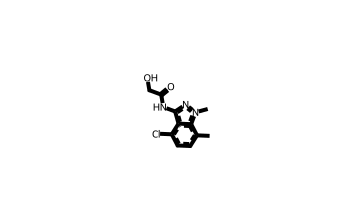 Cc1ccc(Cl)c2c(NC(=O)CO)nn(C)c12